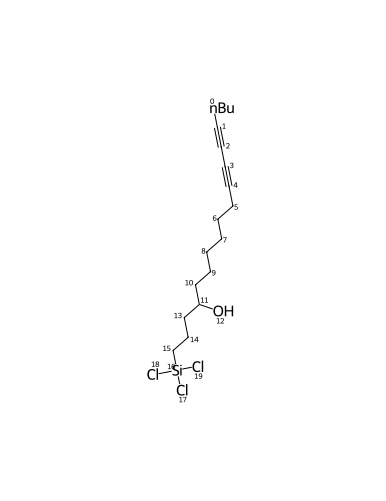 CCCCC#CC#CCCCCCCC(O)CCC[Si](Cl)(Cl)Cl